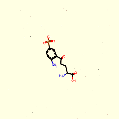 Nc1ccc(S(=O)(=O)O)cc1C(=O)CC[C@H](N)C(=O)O